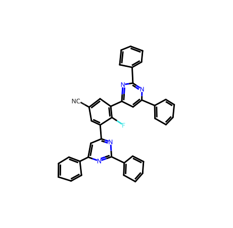 N#Cc1cc(-c2cc(-c3ccccc3)nc(-c3ccccc3)n2)c(F)c(-c2cc(-c3ccccc3)nc(-c3ccccc3)n2)c1